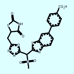 CS(=O)(=O)C(c1nnc(CC2SC(=O)NC2=O)o1)c1nc2ccc(-c3ccc(C(=O)O)cc3)cc2s1